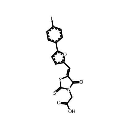 O=C(O)CN1C(=O)C(=Cc2ccc(-c3ccc(I)cc3)o2)SC1=S